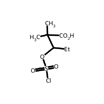 CCC(OS(=O)(=O)Cl)C(C)(C)C(=O)O